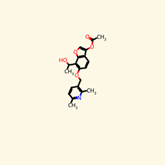 CC(=O)Oc1coc2c(C(C)O)c(OCc3ccc(C)nc3C)ccc12